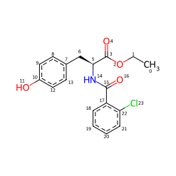 CCOC(=O)[C@H](Cc1ccc(O)cc1)NC(=O)c1ccccc1Cl